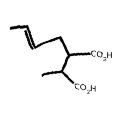 C/C=C/CC(C(=O)O)C(C)C(=O)O